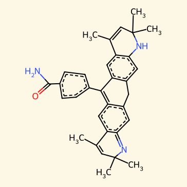 CC1=CC(C)(C)Nc2cc3c(cc21)C(c1ccc(C(N)=O)cc1)=c1cc2c(cc1C3)=NC(C)(C)C=C2C